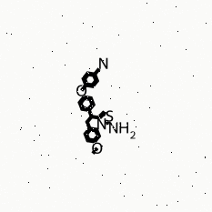 COc1ccc(CC(c2ccc(Oc3ccc(C#N)cc3)cc2)c2csc(N)n2)cc1